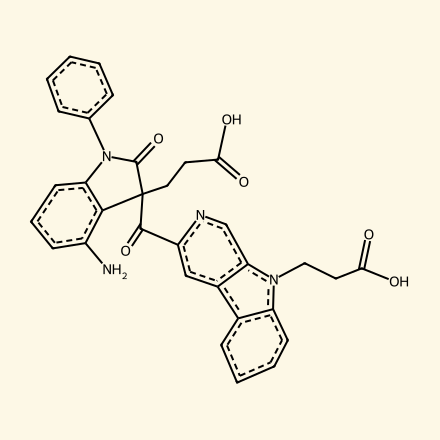 Nc1cccc2c1C(CCC(=O)O)(C(=O)c1cc3c4ccccc4n(CCC(=O)O)c3cn1)C(=O)N2c1ccccc1